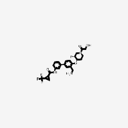 NCc1cc(-c2cccc(NC(=O)C3CC3C(F)(F)F)c2)ccc1O[C@H]1CCN(C(=O)CO)C[C@H]1F